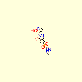 O=c1c2ccc(S(=O)(=O)c3cnn(C4CC4)c3)cc2cnn1Cc1cccnc1O